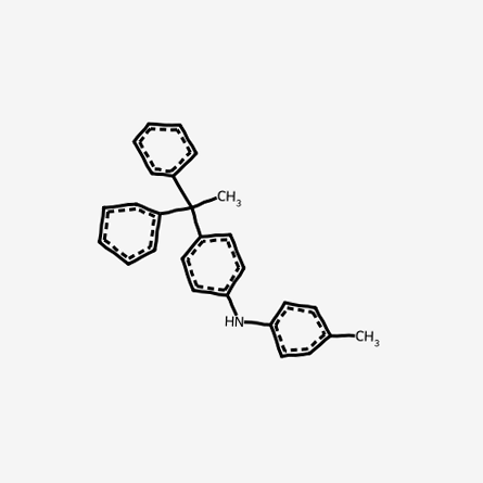 Cc1ccc(Nc2ccc(C(C)(c3ccccc3)c3ccccc3)cc2)cc1